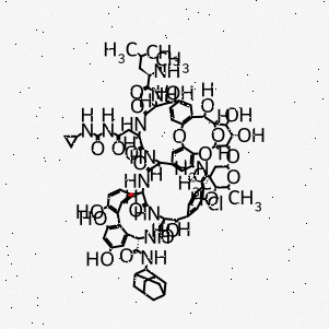 CN[C@H](CC(C)C)C(=O)N[C@H]1C(=O)N[C@@H](CC(=O)NC(=O)NC2CC2)C(=O)N[C@H]2C(=O)N[C@H]3C(=O)N[C@H](C(=O)N[C@H](C(=O)NC4C5CC6CC(C5)CC4C6)c4cc(O)cc(O)c4-c4cc3ccc4O)[C@H](O)c3ccc(c(Cl)c3)Oc3cc2cc2c3O[C@@H]3O[C@H](C(O)c4cc(ccc4O2)[C@H]1O)[C@@H](O)[C@H](O)[C@H]3O[C@H]1C[C@](C)(N)[C@H](O)[C@H](C)O1